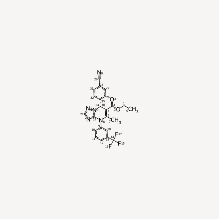 CCOC(=O)C1=C(C)N(c2cccc(C(F)(F)F)c2)c2ncnn2[C@@H]1c1ccc(C#N)cc1